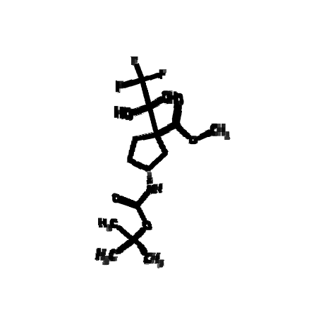 COC(=O)C1(C(O)(O)C(F)(F)F)CC[C@@H](NC(=O)OC(C)(C)C)C1